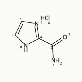 Cl.NC(=O)c1ncc[nH]1